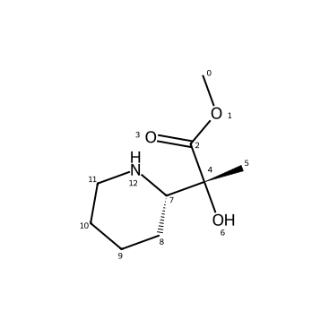 COC(=O)[C@](C)(O)[C@@H]1CCCCN1